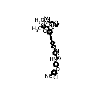 Cc1sc2c(c1C)C(c1ccc(C#CC3CC4(C3)CN(c3ccc(C(=O)NC5CCC(Oc6ccc(C#N)c(Cl)c6)CC5)nn3)C4)cc1F)=NC(Cc1ncco1)c1nnc(C)n1-2